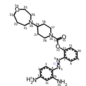 Nc1ccc(/N=N/c2ccccc2OC(=O)N2CCC(N3CCCOCC3)CC2)c(N)c1